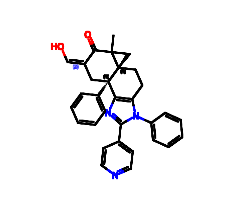 CC12C[C@]13CCc1c(nc(-c4ccncc4)n1-c1ccccc1)[C@@]3(c1ccccc1)C/C(=C/O)C2=O